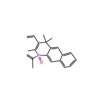 C=CC1=C(C)P(=O)(C(=C)C)c2cc3ccccc3cc2C1(C)C